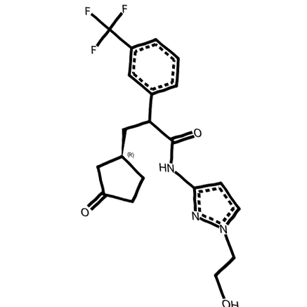 O=C1CC[C@H](CC(C(=O)Nc2ccn(CCO)n2)c2cccc(C(F)(F)F)c2)C1